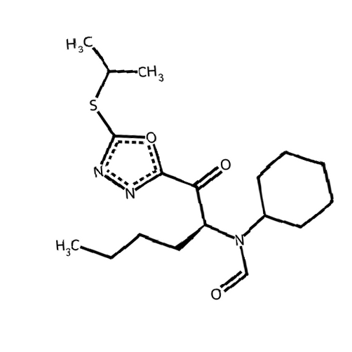 CCCC[C@@H](C(=O)c1nnc(SC(C)C)o1)N(C=O)C1CCCCC1